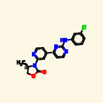 C[C@@H]1COC(=O)N1c1cc(-c2ccnc(Nc3cccc(Cl)c3)n2)ccn1